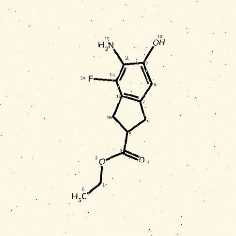 CCOC(=O)C1Cc2cc(O)c(N)c(F)c2C1